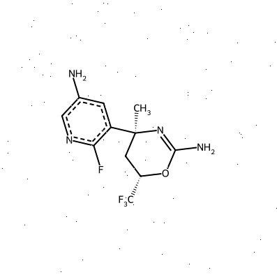 C[C@@]1(c2cc(N)cnc2F)C[C@@H](C(F)(F)F)OC(N)=N1